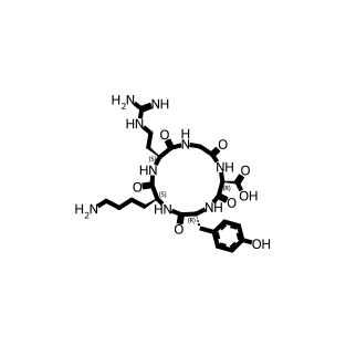 N=C(N)NCC[C@@H]1NC(=O)[C@H](CCCCN)NC(=O)[C@@H](Cc2ccc(O)cc2)NC(=O)[C@H](C(=O)O)NC(=O)CNC1=O